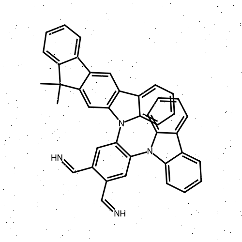 CC1(C)c2ccccc2-c2cc3c4ccccc4n(-c4cc(C=N)c(C=N)cc4-n4c5ccccc5c5ccccc54)c3cc21